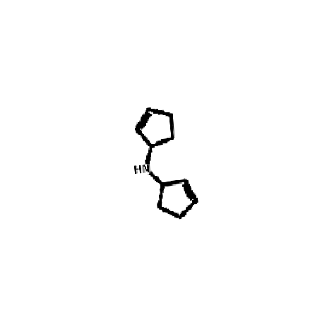 C1=CC(NC2C=CCC2)CC1